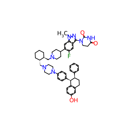 Cn1nc(N2CCC(=O)NC2=O)c2cc(F)c(C3CCN(C[C@@H]4CCCC[C@H]4CN4CCN(c5ccc([C@@H]6c7ccc(O)cc7CC[C@@H]6c6ccccc6)cc5)CC4)CC3)cc21